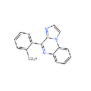 O=C(O)c1ccccc1-c1nc2ccccc2n2ccnc12